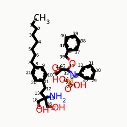 CCCCCCCCc1ccc(CCC(N)(CO)CO)cc1.O=P(O)(O)N(c1ccccc1)C(OCc1ccccc1)C1CO1